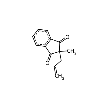 C=CCC1(C)C(=O)c2ccccc2C1=O